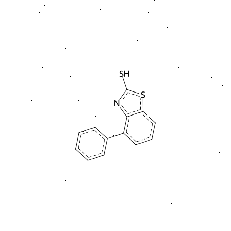 Sc1nc2c(-c3ccccc3)cccc2s1